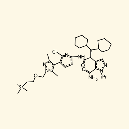 Cc1nn(COCC[Si](C)(C)C)c(C)c1-c1ccc(NC(=O)[C@H](c2cnn(C(C)C)c2C(N)=O)C(C2CCCCC2)C2CCCCC2)nc1Cl